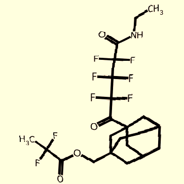 CCNC(=O)C(F)(F)C(F)(F)C(F)(F)C(=O)C12CC3CC(CC(COC(=O)C(C)(F)F)(C3)C1)C2